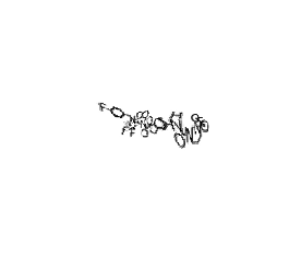 C[C@H](N(Cc1ccc(F)cc1)C(=O)CN1C(=O)O[C@@]2(CCc3cc(NC(=O)N4CCCN(S(C)(=O)=O)C4)ccc32)C1=O)C(F)(F)F